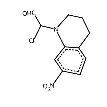 O=CC(Cl)N1CCCc2ccc([N+](=O)[O-])cc21